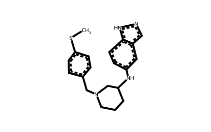 CSc1ccc(CN2CCCC(Nc3ccc4[nH]ncc4c3)C2)cc1